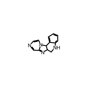 C1=CN2C(=NC3CNc4ccccc4C32)C=N1